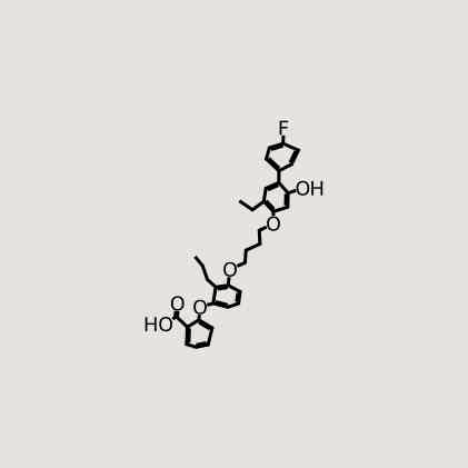 CCCc1c(OCCCCOc2cc(O)c(-c3ccc(F)cc3)cc2CC)cccc1Oc1ccccc1C(=O)O